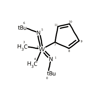 CC(C)(C)[N]=[W]([CH3])([CH3])(=[N]C(C)(C)C)[CH]1C=CC=C1